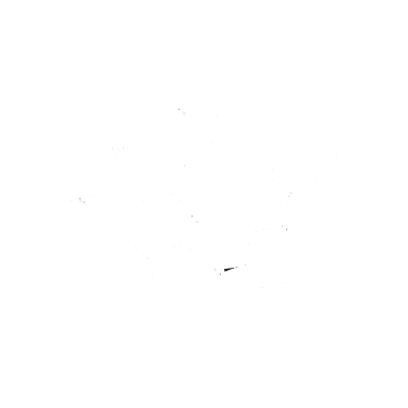 C=CC(=O)N1CCC[C@@H](N(C)c2nc(-c3cnoc3)c3c(c2F)CNC3O)C1